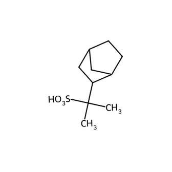 CC(C)(C1CC2CCC1C2)S(=O)(=O)O